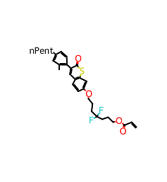 C=CC(=O)OCCCC(F)(F)CCCOc1ccc2cc(-c3ccc(CCCCC)cc3C)c(=O)sc2c1